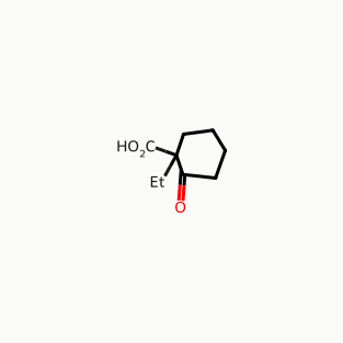 CCC1(C(=O)O)CCCCC1=O